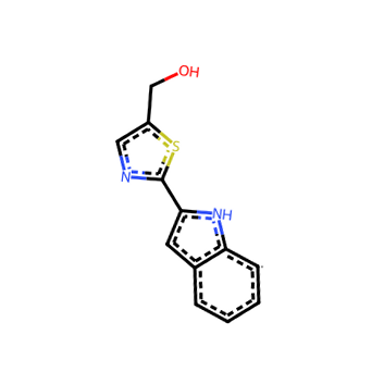 OCc1cnc(-c2cc3ccc[c]c3[nH]2)s1